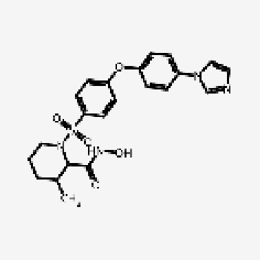 CC1CCCN(S(=O)(=O)c2ccc(Oc3ccc(-n4ccnc4)cc3)cc2)C1C(=O)NO